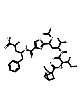 CCC(C)C(NC(=O)C12CC(CN1C)C2)C(=O)N(C)C(CC(OC(C)=O)c1nc(C(=O)NC(Cc2ccccc2)CC(C)C(=O)O)cs1)C(C)C